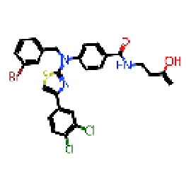 C=C(O)CCNC(=O)c1ccc(N(Cc2cccc(Br)c2)c2nc(-c3ccc(Cl)c(Cl)c3)cs2)cc1